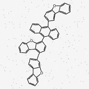 c1ccc2c(c1)oc1cc(-c3ccc(-c4c5ccccc5c(-c5ccc6oc7ccccc7c6c5)c5ccccc45)c4oc5ccccc5c34)ccc12